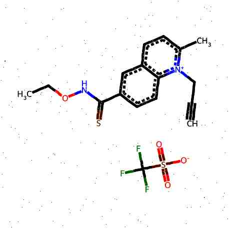 C#CC[n+]1c(C)ccc2cc(C(=S)NOCC)ccc21.O=S(=O)([O-])C(F)(F)F